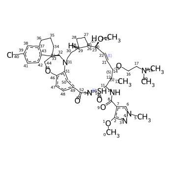 COc1nn(C)cc1C(=O)NC1[C@@H](C)[C@@H](OCCN(C)C)/C=C/[C@H](OC)[C@@H]2CC[C@H]2CN2C[C@@]3(CCCc4cc(Cl)ccc43)COc3ccc(cc32)C(=O)/N=[SH]\1=O